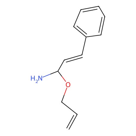 C=CCOC(N)C=Cc1ccccc1